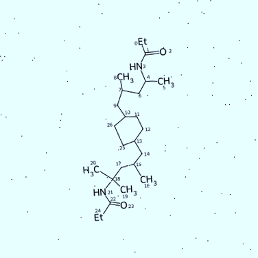 CCC(=O)NC(C)CC(C)CC1CCC(CC(C)CC(C)(C)NC(=O)CC)CC1